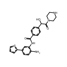 Nc1ccc(-c2cccs2)cc1NC(=O)c1ccc(C(O)C(=O)N2CCNCC2)cc1